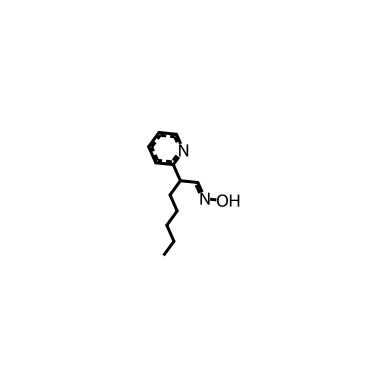 CCCCCC(/C=N/O)c1ccccn1